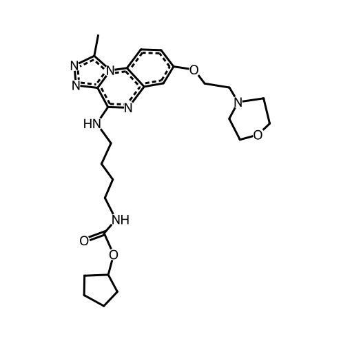 Cc1nnc2c(NCCCCNC(=O)OC3CCCC3)nc3cc(OCCN4CCOCC4)ccc3n12